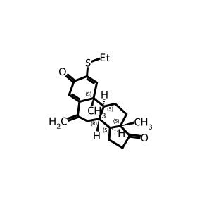 C=C1C[C@@H]2[C@H](CC[C@]3(C)C(=O)CC[C@@H]23)[C@@]2(C)C=C(SCC)C(=O)C=C12